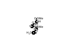 COC(=O)[C@H]1C[C@@H](NC(=O)c2cnccc2Nc2nc(-c3cc(C)ccc3F)ncc2OC)CN1